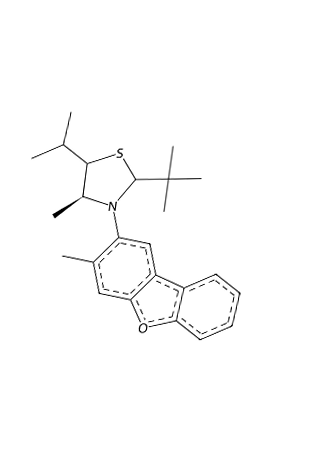 Cc1cc2oc3ccccc3c2cc1N1C(C(C)(C)C)SC(C(C)C)[C@@H]1C